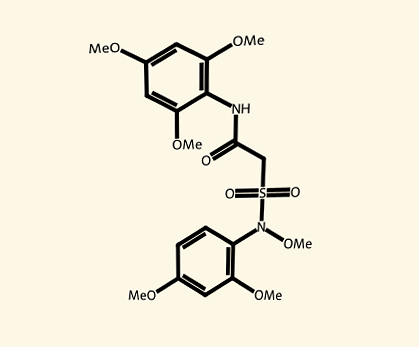 COc1ccc(N(OC)S(=O)(=O)CC(=O)Nc2c(OC)cc(OC)cc2OC)c(OC)c1